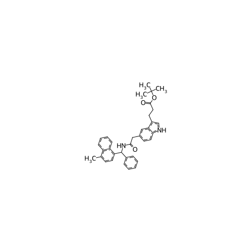 Cc1ccc(C(NC(=O)Cc2ccc3[nH]cc(CCC(=O)OC(C)(C)C)c3c2)c2ccccc2)c2ccccc12